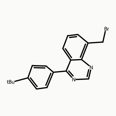 CC(C)(C)c1ccc(-c2ncnc3c(CBr)cccc23)cc1